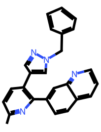 Cc1ccc(-c2cnn(Cc3ccccc3)c2)c(-c2ccc3cccnc3c2)n1